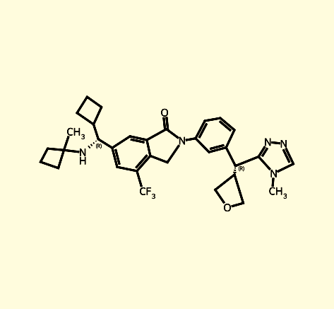 Cn1cnnc1[C@@H](c1cccc(N2Cc3c(cc([C@H](NC4(C)CCC4)C4CCC4)cc3C(F)(F)F)C2=O)c1)C1COC1